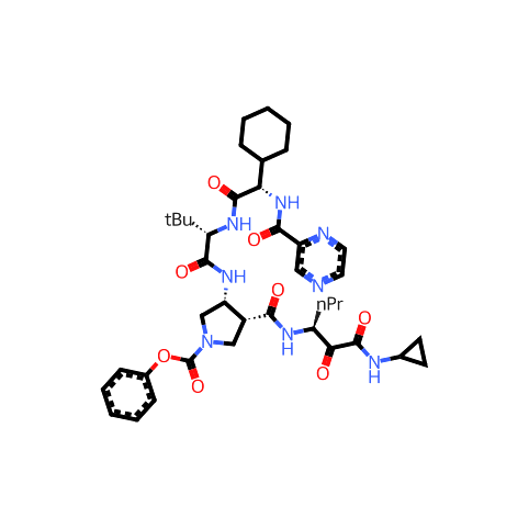 CCC[C@H](NC(=O)[C@@H]1CN(C(=O)Oc2ccccc2)C[C@@H]1NC(=O)[C@@H](NC(=O)[C@@H](NC(=O)c1cnccn1)C1CCCCC1)C(C)(C)C)C(=O)C(=O)NC1CC1